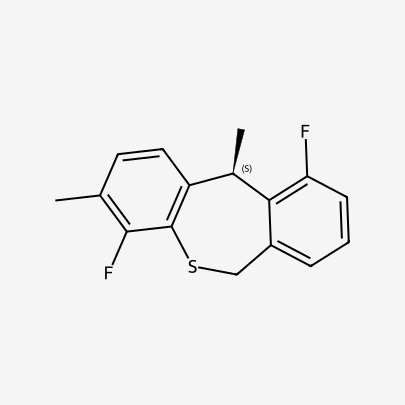 Cc1ccc2c(c1F)SCc1cccc(F)c1[C@@H]2C